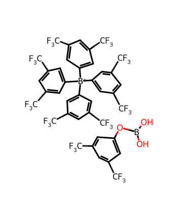 FC(F)(F)c1cc([B-](c2cc(C(F)(F)F)cc(C(F)(F)F)c2)(c2cc(C(F)(F)F)cc(C(F)(F)F)c2)c2cc(C(F)(F)F)cc(C(F)(F)F)c2)cc(C(F)(F)F)c1.OB(O)Oc1cc(C(F)(F)F)cc(C(F)(F)F)c1